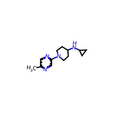 Cc1cnc(N2CCC(NC3CC3)CC2)cn1